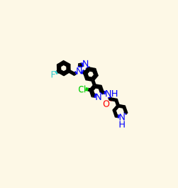 O=C(CC1CCNCC1)Nc1cc(-c2ccc3ncn(Cc4cccc(F)c4)c3c2)c(Cl)cn1